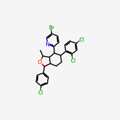 CC1OC(c2ccc(Cl)cc2)C2CCC(c3ccc(Cl)cc3Cl)C(c3ccc(Br)cn3)C12